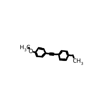 CCc1ccc(C#Cc2ccc(OC)cc2)cc1